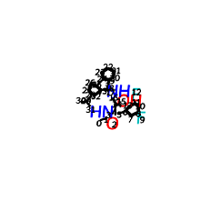 CC(=O)N[C@@H](Cc1cc(F)cc(F)c1)[C@H](O)CNC1c2ccccc2-c2ccc(C(C)C)cc21